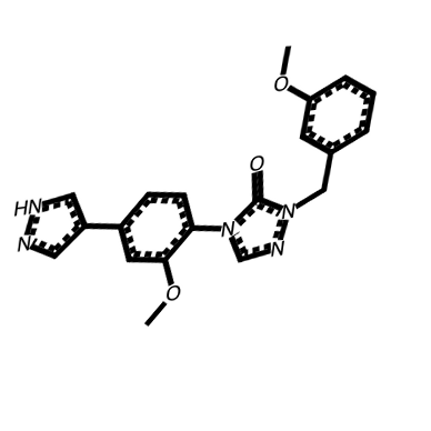 COc1cccc(Cn2ncn(-c3ccc(-c4cn[nH]c4)cc3OC)c2=O)c1